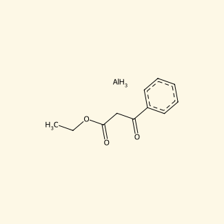 CCOC(=O)CC(=O)c1ccccc1.[AlH3]